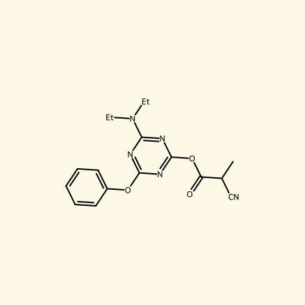 CCN(CC)c1nc(OC(=O)C(C)C#N)nc(Oc2ccccc2)n1